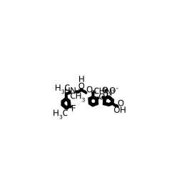 Cc1ccc(CC(C)(C)NC[C@@H](O)CO[C@H](C)c2ccccc2Oc2ccc(C(=O)O)cc2[N+](=O)[O-])cc1F